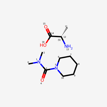 CN(C)C(=O)N1CCCCC1.C[C@H](N)C(=O)O